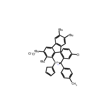 Cc1ccc(/[C](c2cccc(Cl)c2)=[Zr+2](\[C]2=CC=CC2)[c]2c3c(cc(C(C)(C)C)c2C(C)(C)C)-c2cc(C(C)(C)C)c(C(C)(C)C)cc2C3)cc1.[Cl-].[Cl-]